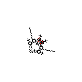 CCCCCCCCc1cc(-c2cc(C(C)(C)C)cc(C(C)(C)C)c2)c2c(c1)-c1cc(C(C)(C)C)ccc1O[CH2][Ge]([CH](C)C)([CH](C)C)[CH2]Oc1ccc(C(C)(C)C)cc1-c1cc(CCCCCCCC)cc(-c3cc(C(C)(C)C)cc(C(C)(C)C)c3)c1[O][Zr]([CH3])([CH3])[O]2